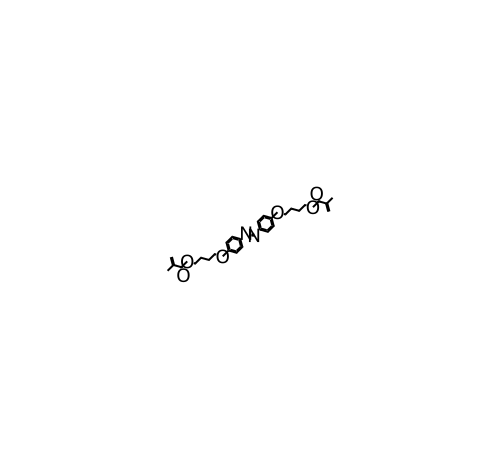 C=C(C)C(=O)OCCCCOc1ccc(N=Nc2ccc(OCCCCOC(=O)C(=C)C)cc2)cc1